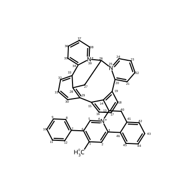 Cc1cc2[n+](cc1-c1ccccc1)C(c1c3cccc1-c1cccc[n+]1C1Cc4c-3cccc4-c3cccc[n+]31)Cc1ccccc1-2